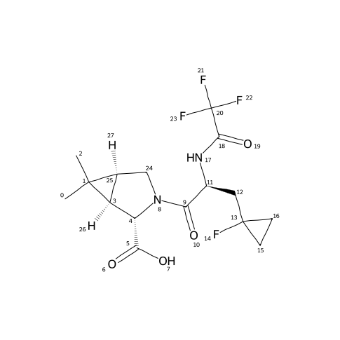 CC1(C)[C@@H]2[C@@H](C(=O)O)N(C(=O)[C@H](CC3(F)CC3)NC(=O)C(F)(F)F)C[C@@H]21